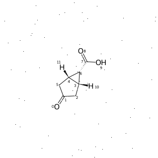 O=C1C[C@@H]2[C@H](C1)[C@@H]2C(=O)O